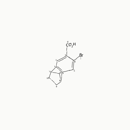 O=C(O)c1cc2c(cc1Br)C1CCC2C1